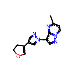 Cc1ccn2ncc(-n3cc(C4=COCC4)cn3)c2n1